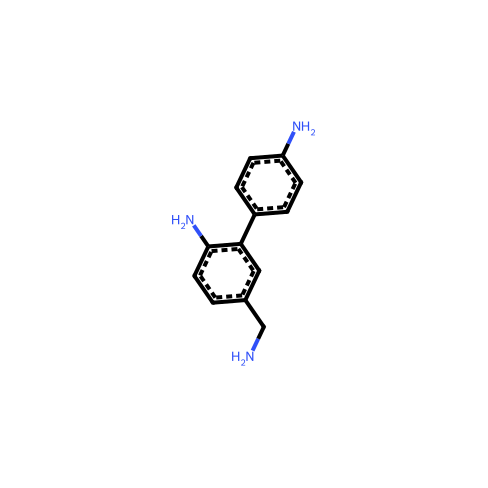 NCc1ccc(N)c(-c2ccc(N)cc2)c1